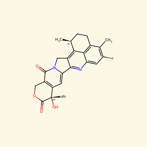 CCC[C@@]1(O)C(=O)OCc2c1cc1n(c2=O)Cc2c-1nc1cc(F)c(C)c3c1c2[C@@H](C)CC3